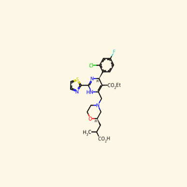 CCOC(=O)C1=C(CN2CCO[C@H](CC(C)C(=O)O)C2)NC(c2nccs2)=N[C@H]1c1ccc(F)cc1Cl